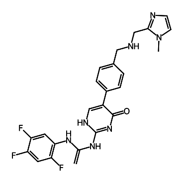 C=C(Nc1nc(=O)c(-c2ccc(CNCc3nccn3C)cc2)c[nH]1)Nc1cc(F)c(F)cc1F